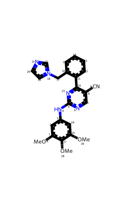 COc1cc(Nc2ncc(C#N)c(-c3ccccc3Cn3ccnc3)n2)cc(OC)c1OC